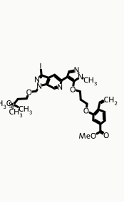 C=Cc1ccc(C(=O)OC)cc1OCCCOc1c(-c2cc3c(I)nn(COCC[Si](C)(C)C)c3cn2)cnn1C